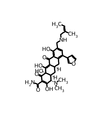 C/C=C(/C)CNCc1cc(-c2ccoc2)c2c(c1O)C(=O)C1=C(O)[C@]3(O)C(=O)C(C(N)=O)=C(O)[C@@H](N(C)C)[C@@H]3C[C@@H]1C2